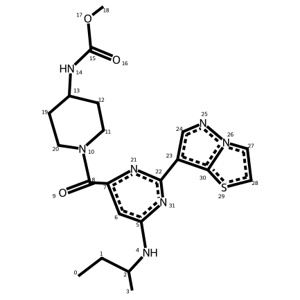 CCC(C)Nc1cc(C(=O)N2CCC(NC(=O)OC)CC2)nc(-c2cnn3ccsc23)n1